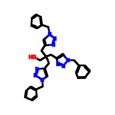 OCC(Cc1cn(Cc2ccccc2)nn1)(Cc1cn(Cc2ccccc2)nn1)Cc1cn(Cc2ccccc2)nn1